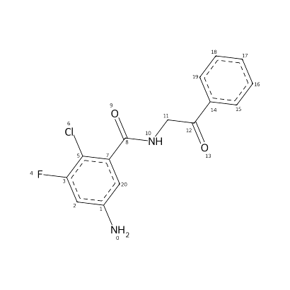 Nc1cc(F)c(Cl)c(C(=O)NCC(=O)c2ccccc2)c1